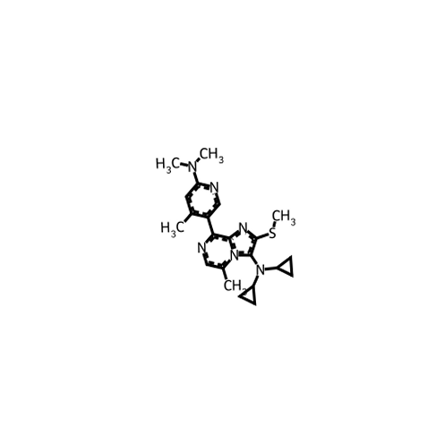 CSc1nc2c(-c3cnc(N(C)C)cc3C)ncc(C)n2c1N(C1CC1)C1CC1